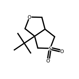 CC(C)(C)C12COCC1CS(=O)(=O)C2